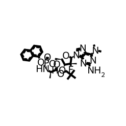 C[C@@H](N[P@@](=O)(OC[C@H]1O[C@@H](n2cnc3c(N(C)C)nc(N)nc32)[C@](C)(F)[C@@H]1O)Oc1cccc2ccccc12)C(=O)OCC(C)(C)C